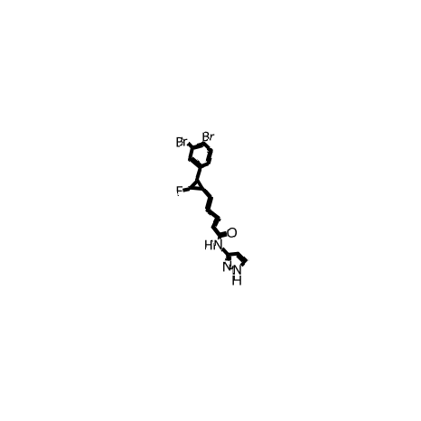 O=C(/C=C/C=C/C1C(F)C1c1ccc(Br)c(Br)c1)Nc1cc[nH]n1